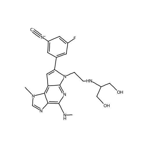 [C-]#[N+]c1cc(F)cc(-c2cc3c4c(ncn4C)c(NC)nc3n2CCNC(CO)CO)c1